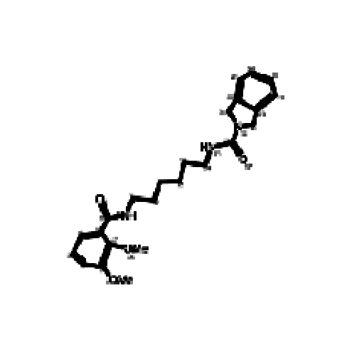 COc1cccc(C(=O)NCCCCCCNC(=O)N2Cc3ccccc3C2)c1OC